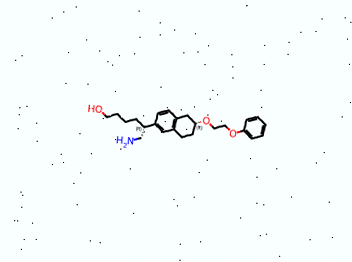 NC[C@H](CCCCO)c1ccc2c(c1)CC[C@@H](OCCOc1ccccc1)C2